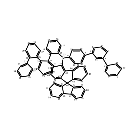 c1ccc(-c2cccc(-c3ccc(N(c4ccccc4-c4ccccc4-c4ccccc4-c4ccccc4)c4cccc5c4-c4ccccc4C54c5ccccc5-c5ccccc54)cc3)c2)cc1